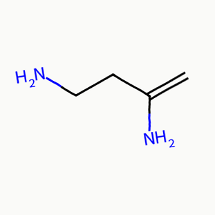 C=C(N)CCN